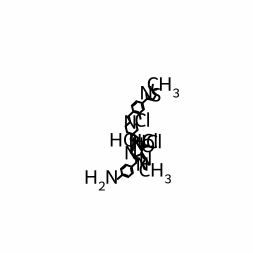 Cc1nc(-c2ccc(CN3CCC(O)(Cn4cnc5c(-c6ccc(CN)cc6)n(C)nc5c4=O)CC3)c(Cl)c2)cs1.Cl.Cl